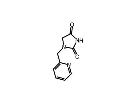 O=C1CN(Cc2ccccn2)C(=O)N1